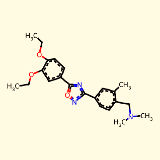 CCOc1ccc(-c2nc(-c3ccc(CN(C)C)c(C)c3)no2)cc1OCC